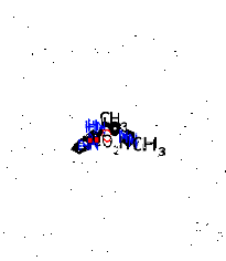 C[C@H](NC(=O)c1ccc(N2C3CCC2CC(NC(=O)O)C3)nc1)c1ccc(N2CCN(C)CC2)cc1